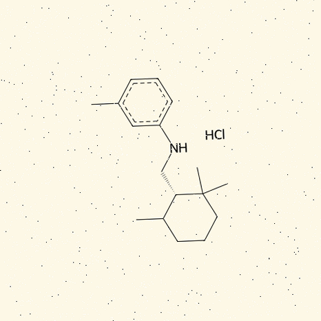 Cc1cccc(NC[C@H]2C(C)CCCC2(C)C)c1.Cl